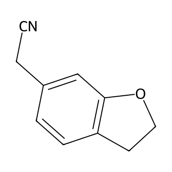 N#CCc1ccc2c(c1)OCC2